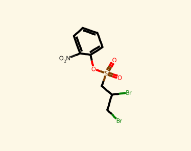 O=[N+]([O-])c1ccccc1OS(=O)(=O)CC(Br)CBr